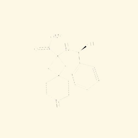 COC(=O)C1(N[C@@H](C)c2ccccc2)CC2(CCNCC2)C1